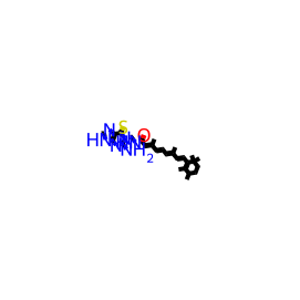 CC1=C(/C=C/C(C)=C/C=C/C(C)=C/C(=O)NCn2c(N)nc3[nH]cnc3c2=S)C(C)(C)CCC1C